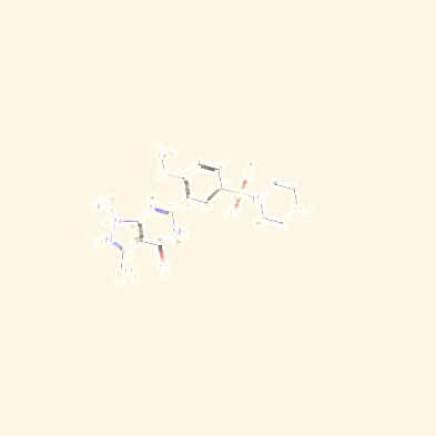 CCCOc1ccc(S(=O)(=O)N2CCOCC2)cc1-c1nc2c(c(C)nn2CCC)c(=O)[nH]1